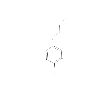 Bc1ccc(OCOC)cc1.O.O